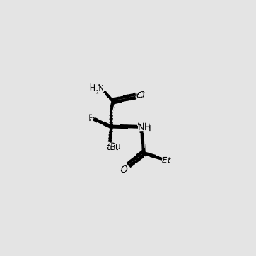 CCC(=O)NC(F)(C(N)=O)C(C)(C)C